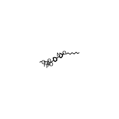 CCCCCCCCOc1ccc(-c2ccc(C(=O)OC(COCC)C(F)(F)F)cc2)nc1